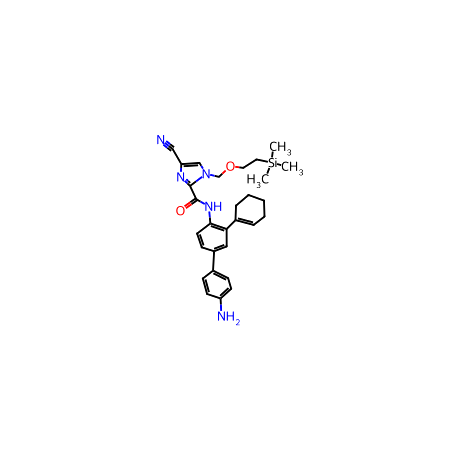 C[Si](C)(C)CCOCn1cc(C#N)nc1C(=O)Nc1ccc(-c2ccc(N)cc2)cc1C1=CCCCC1